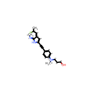 C/N=C1/NC(C#Cc2ccc(N(C)CCCO)cc2)=C/C1=C/C(C)F